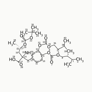 CC(C)CCOC(=O)Oc1ccc(CC(N)(C[C@H](C)OC(=O)OC(C)(C)C)C(=O)O)cc1OC(=O)OCCC(C)C